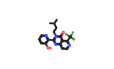 CC(C)CCn1c(-c2ncccc2O)nc2ccnc(C(F)(F)F)c2c1=O